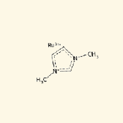 Cn1cc[n+](C)c1.[Ru+3]